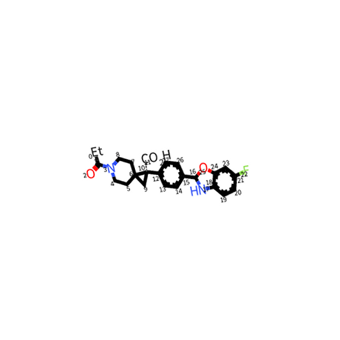 CCC(=O)N1CCC2(CC1)C[C@]2(C(=O)O)c1ccc(C2Nc3ccc(F)cc3O2)cc1